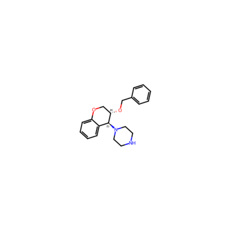 c1ccc(CO[C@H]2COc3ccccc3[C@@H]2N2CCNCC2)cc1